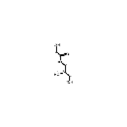 O=C(CS)OC[C@H](O)CO